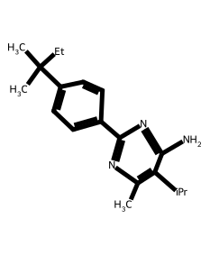 CCC(C)(C)c1ccc(-c2nc(C)c(C(C)C)c(N)n2)cc1